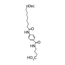 CCCCCCCCCCCCCCCCCC(=O)Nc1ccc(C(=O)NCCCC(=O)O)cc1